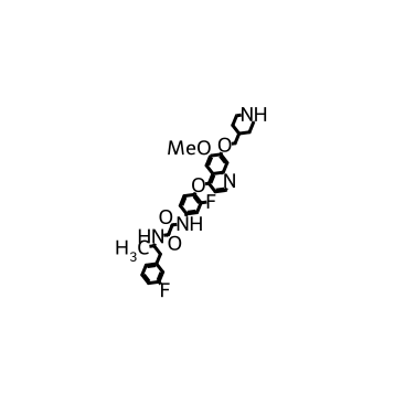 COc1cc2c(Oc3ccc(NC(=O)C(=O)NC(C)Cc4cccc(F)c4)cc3F)ccnc2cc1OCC1CCNCC1